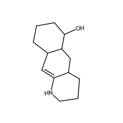 OC1CCCC2C=C3NCCCC3CC12